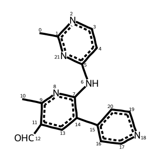 Cc1nccc(Nc2nc(C)c(C=O)cc2-c2ccncc2)n1